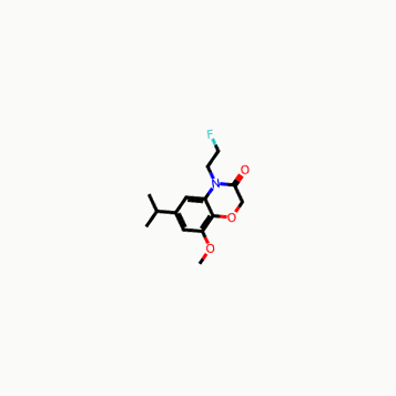 COc1cc(C(C)C)cc2c1OCC(=O)N2CCF